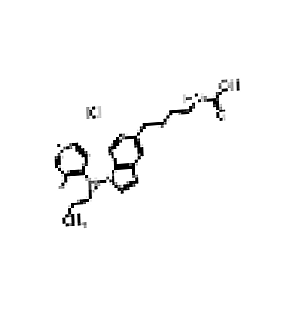 CCCN(c1ccncc1F)n1ccc2cc(CCCCNC(=O)O)ccc21.Cl